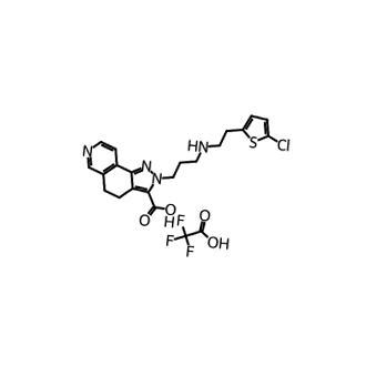 O=C(O)C(F)(F)F.O=C(O)c1c2c(nn1CCCNCCc1ccc(Cl)s1)-c1ccncc1CC2